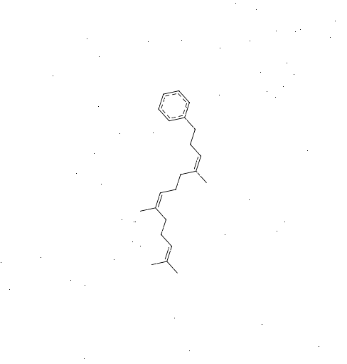 CC(C)=CCCC(C)=CCCC(C)=CCCc1ccccc1